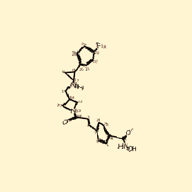 O=C(NO)c1ccc(C=CC(=O)N2CC(CNC3CC3c3ccc(F)cc3)C2)cc1